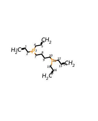 C=CCP(CC=C)CCCCP(CC=C)CC=C